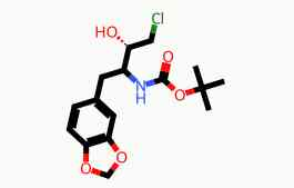 CC(C)(C)OC(=O)NC(Cc1ccc2c(c1)OCO2)[C@H](O)CCl